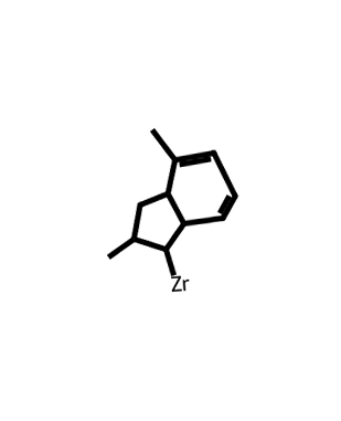 CC1=CC=CC2C1CC(C)[CH]2[Zr]